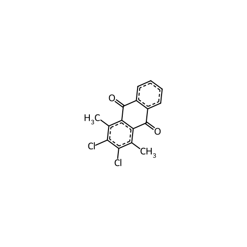 Cc1c(Cl)c(Cl)c(C)c2c1C(=O)c1ccccc1C2=O